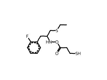 CCSCC(Cc1ccccc1F)NOC(=O)CCS